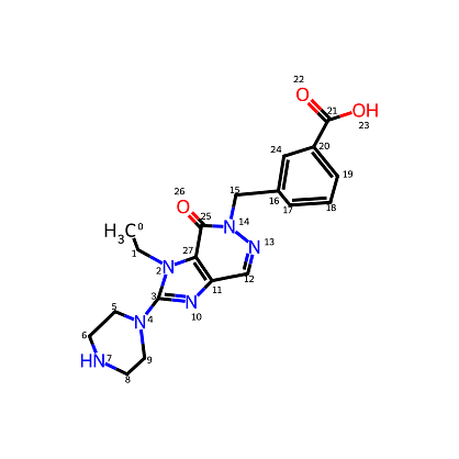 CCn1c(N2CCNCC2)nc2cnn(Cc3cccc(C(=O)O)c3)c(=O)c21